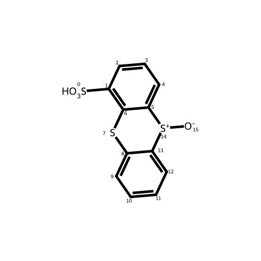 O=S(=O)(O)c1cccc2c1Sc1ccccc1[S+]2[O-]